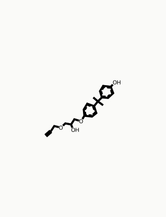 C#CCOCC(O)COc1ccc(C(C)(C)c2ccc(O)cc2)cc1